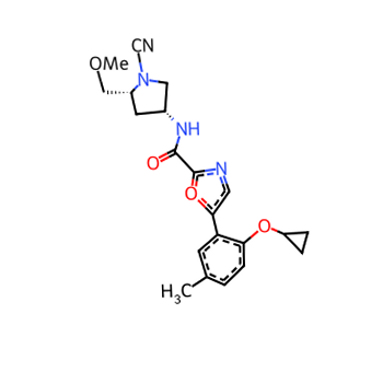 COC[C@H]1C[C@@H](NC(=O)c2ncc(-c3cc(C)ccc3OC3CC3)o2)CN1C#N